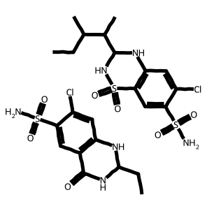 CCC(C)C(C)C1Nc2cc(Cl)c(S(N)(=O)=O)cc2S(=O)(=O)N1.CCC1NC(=O)c2cc(S(N)(=O)=O)c(Cl)cc2N1